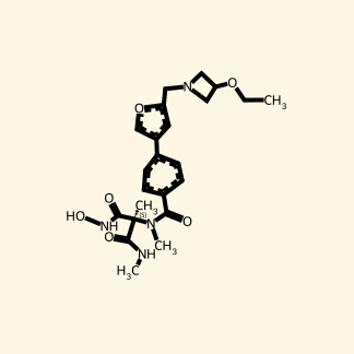 CCOC1CN(Cc2cc(-c3ccc(C(=O)N(C)[C@@](C)(C(=O)NC)C(=O)NO)cc3)co2)C1